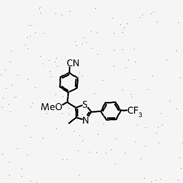 COC(c1ccc(C#N)cc1)c1sc(-c2ccc(C(F)(F)F)cc2)nc1C